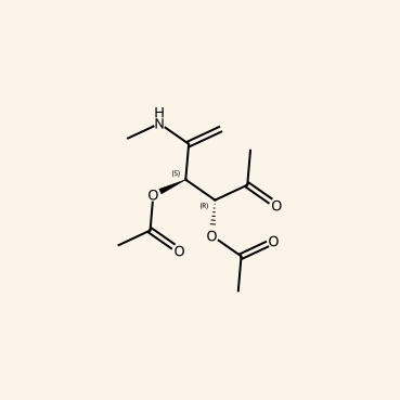 C=C(NC)[C@H](OC(C)=O)[C@@H](OC(C)=O)C(C)=O